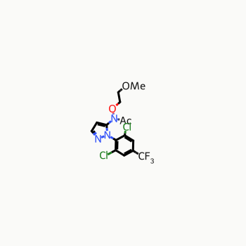 COCCON(C(C)=O)c1ccnn1-c1c(Cl)cc(C(F)(F)F)cc1Cl